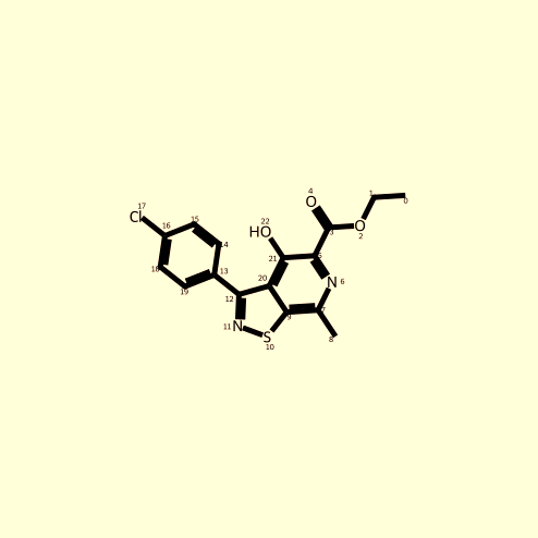 CCOC(=O)c1nc(C)c2snc(-c3ccc(Cl)cc3)c2c1O